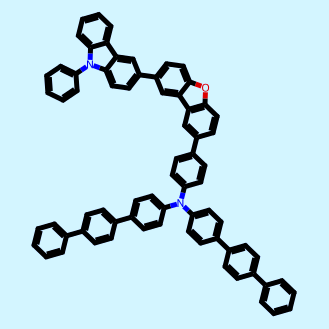 c1ccc(-c2ccc(-c3ccc(N(c4ccc(-c5ccc(-c6ccccc6)cc5)cc4)c4ccc(-c5ccc6oc7ccc(-c8ccc9c(c8)c8ccccc8n9-c8ccccc8)cc7c6c5)cc4)cc3)cc2)cc1